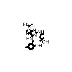 CCC(CC)n1cnc2c(NCc3cc(C)ccc3O)nc(NC(C)CC(C)(C)O)nc21